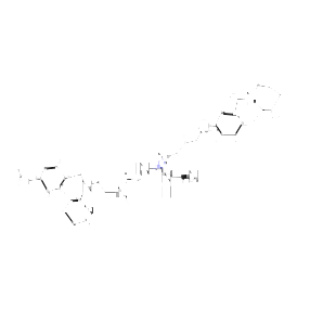 COc1ccc(CN(CCN(C)CCN/C(=N/CCCOc2cccc(CN3CCCCC3)c2)NC#N)c2ccccn2)cc1